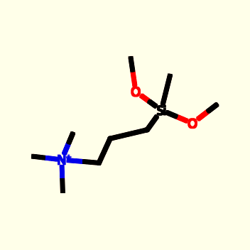 CO[Si](C)(CCC[N+](C)(C)C)OC